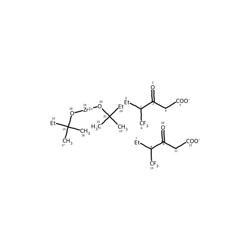 CCC(C(=O)CC(=O)[O-])C(F)(F)F.CCC(C(=O)CC(=O)[O-])C(F)(F)F.CCC(C)(C)[O][Zr+2][O]C(C)(C)CC